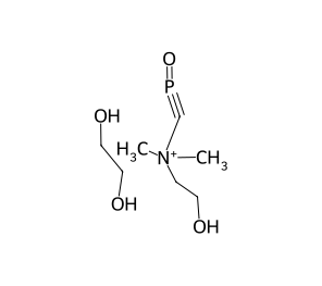 C[N+](C)(C#P=O)CCO.OCCO